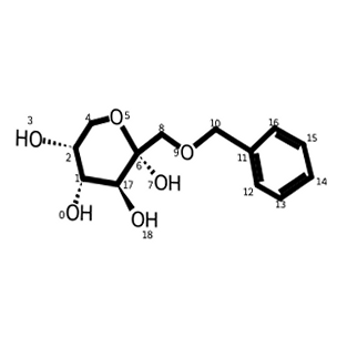 O[C@@H]1[C@H](O)CO[C@@](O)(COCc2ccccc2)[C@H]1O